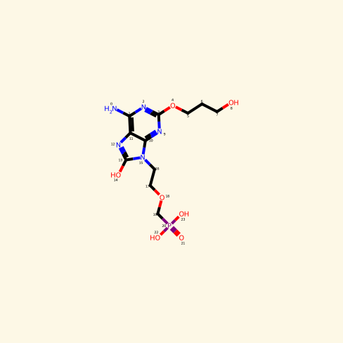 Nc1nc(OCCCO)nc2c1nc(O)n2CCOCP(=O)(O)O